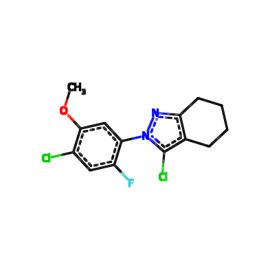 COc1cc(-n2nc3c(c2Cl)CCCC3)c(F)cc1Cl